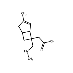 CNCC1(CC(=O)O)CC2CC(C)=CC21